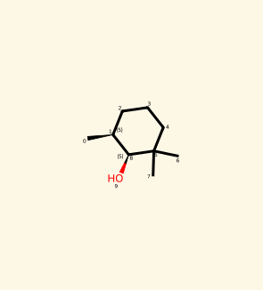 C[C@H]1CC[CH]C(C)(C)[C@H]1O